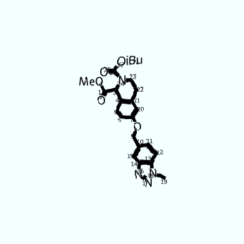 COC(=O)C1c2ccc(OCc3ccc4c(c3)nnn4C)cc2CCN1C(=O)OCC(C)C